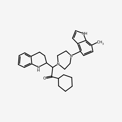 Cc1ccc(N2CCN(C(C(=O)C3CCCCC3)C3CCc4ccccc4N3)CC2)c2cc[nH]c12